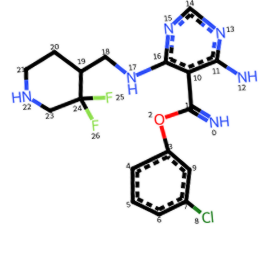 N=C(Oc1cccc(Cl)c1)c1c(N)ncnc1NCC1CCNCC1(F)F